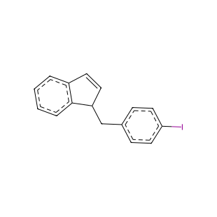 Ic1ccc(CC2C=Cc3ccccc32)cc1